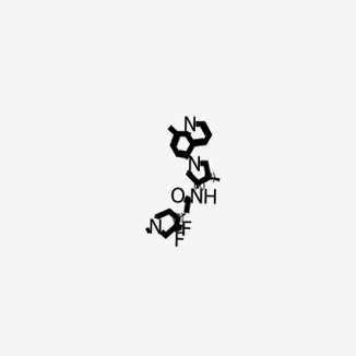 Cc1ccc(N2C[C@@H](C)[C@@H](NC(=O)C[C@H]3CCN(C)CC3(F)F)C2)c2cccnc12